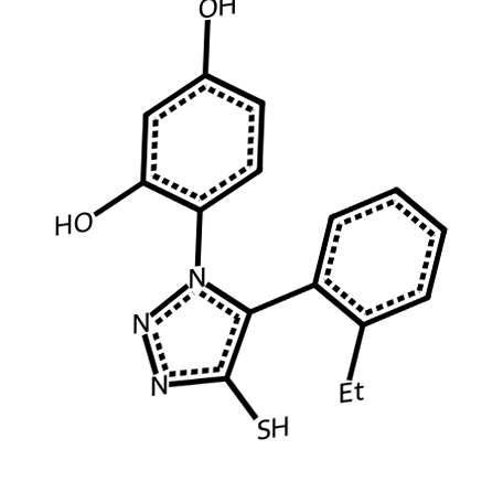 CCc1ccccc1-c1c(S)nnn1-c1ccc(O)cc1O